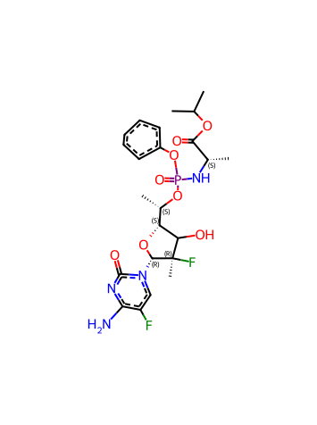 CC(C)OC(=O)[C@H](C)NP(=O)(Oc1ccccc1)O[C@@H](C)[C@H]1O[C@@H](n2cc(F)c(N)nc2=O)[C@](C)(F)C1O